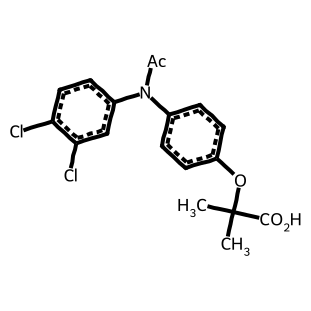 CC(=O)N(c1ccc(OC(C)(C)C(=O)O)cc1)c1ccc(Cl)c(Cl)c1